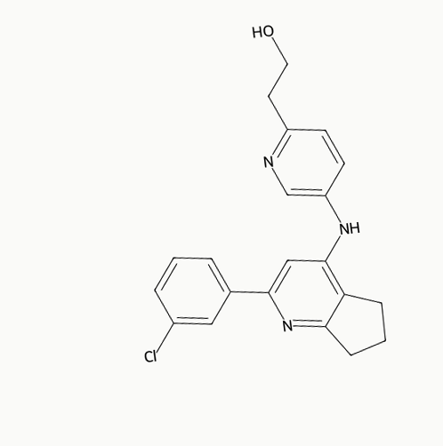 OCCc1ccc(Nc2cc(-c3cccc(Cl)c3)nc3c2CCC3)cn1